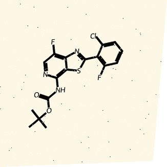 CC(C)(C)OC(=O)Nc1ncc(F)c2nc(-c3c(F)cccc3Cl)sc12